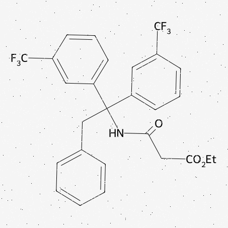 CCOC(=O)CC(=O)NC(Cc1ccccc1)(c1cccc(C(F)(F)F)c1)c1cccc(C(F)(F)F)c1